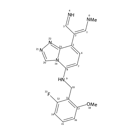 CN/C=C(\C=N)c1ccc(NCc2c(F)cccc2OC)n2cnnc12